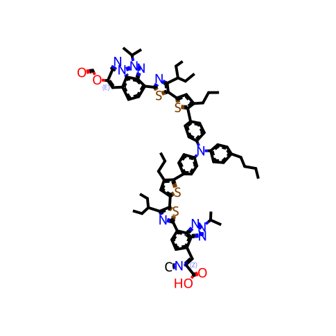 [C-]#[N+]/C(=C\c1ccc(-c2nc(C(CC)CC)c(-c3cc(CCC)c(-c4ccc(N(c5ccc(CCCC)cc5)c5ccc(-c6sc(-c7sc(-c8ccc(/C=C(\C#N)OC=O)c9nn(C(C)C)nc89)nc7C(CC)CC)cc6CCC)cc5)cc4)s3)s2)c2nn(C(C)C)nc12)C(=O)O